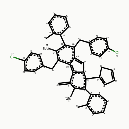 C=c1c(C(C)(C)C)c(-c2ccccc2C)c(C2=CC=CC2)c2c1=c1c(Cc3ccc(Cl)cc3)c(C(C)(C)C)c(-c3ccccc3C)c(Cc3ccc(Cl)cc3)c1=C2